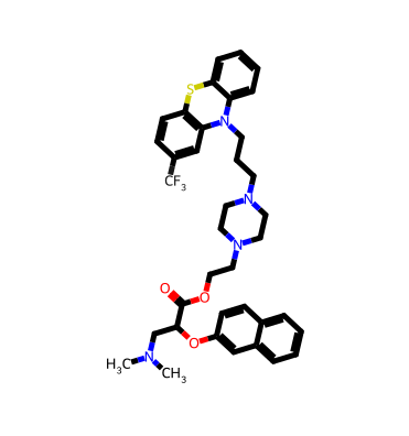 CN(C)CC(Oc1ccc2ccccc2c1)C(=O)OCCN1CCN(CCCN2c3ccccc3Sc3ccc(C(F)(F)F)cc32)CC1